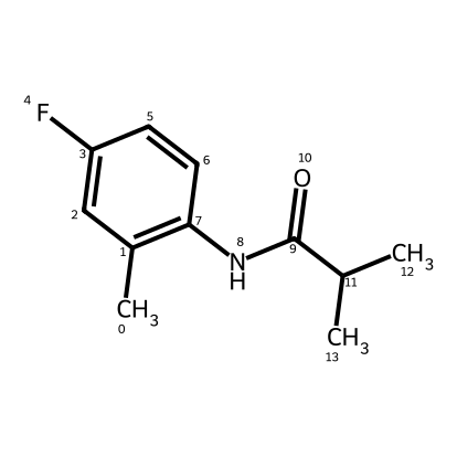 Cc1cc(F)ccc1NC(=O)C(C)C